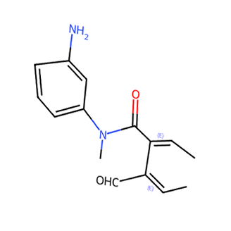 C/C=C(C=O)\C(=C/C)C(=O)N(C)c1cccc(N)c1